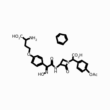 CC(=O)Oc1ccc(C(C(=O)O)N2CC(NC(=O)C(=NO)c3ccc(OCCC(N)C(=O)O)cc3)C2=O)cc1.c1ccccc1